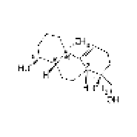 C[C@H]1CCC[C@@]2(C)C3=CCC[C@](C)(CO)[C@@H]3CC[C@H]12